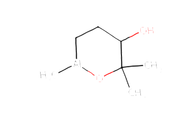 [CH3][Al]1[CH2]CC(O)C(C)(C)[O]1